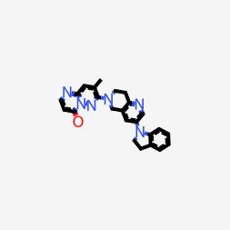 Cc1cc2nccc(=O)n2nc1N1CCc2ncc(N3CCc4ccccc43)cc2C1